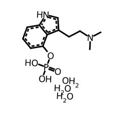 CN(C)CCc1c[nH]c2cccc(OP(=O)(O)O)c12.O.O.O